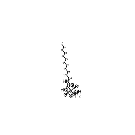 CCCCCCCCCCCCNCCC(N)(P(=O)(O)O)P(=O)(O)O